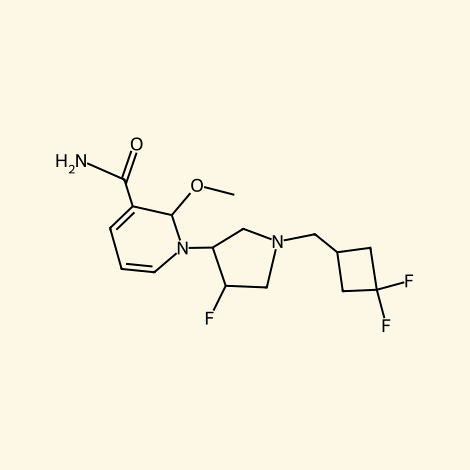 COC1C(C(N)=O)=CC=CN1C1CN(CC2CC(F)(F)C2)CC1F